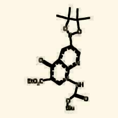 CCOC(=O)c1cn(NC(=O)OC(C)(C)C)c2ncc(B3OC(C)(C)C(C)(C)O3)cc2c1=O